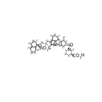 Cc1cc(C(=O)N2CCCC(C(=O)O)C2)ccc1-c1cccc2c(CCCOc3cccc4ccccc34)c(C(=O)O)[nH]c12